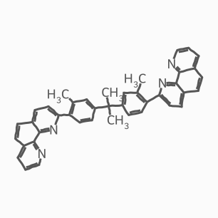 Cc1cc(C(C)(C)c2ccc(-c3ccc4ccc5cccnc5c4n3)c(C)c2)ccc1-c1ccc2ccc3cccnc3c2n1